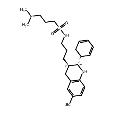 CN(C)CCCS(=O)(=O)NCCC[C@@H]1Cc2cc(C(C)(C)C)ccc2N[C@H]1C1C=CC=CC1